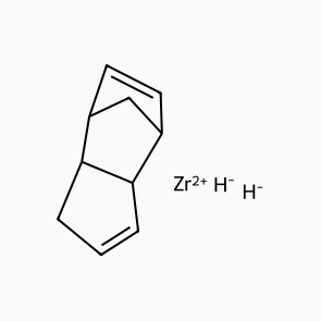 C1=CC2C3C=CC(C3)C2C1.[H-].[H-].[Zr+2]